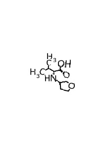 CC(C)[C@H](NC1CCOC1)C(=O)O